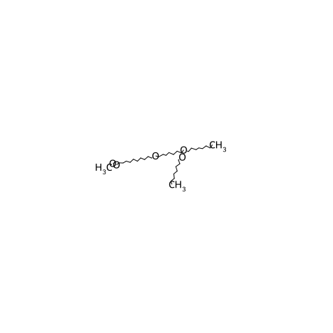 CCCCCCCCOC(CCCCCCOCCCCCCCCCCOOC)OCCCCCCCC